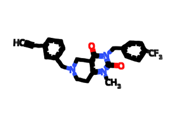 C#Cc1cccc(CN2CCc3c(c(=O)n(Cc4ccc(C(F)(F)F)cc4)c(=O)n3C)C2)c1